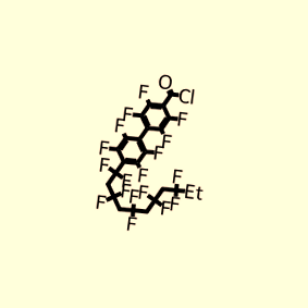 CCC(F)(F)CC(F)(F)CC(F)(F)CC(F)(F)CC(F)(F)c1c(F)c(F)c(-c2c(F)c(F)c(C(=O)Cl)c(F)c2F)c(F)c1F